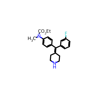 CCOC(=O)N(C)c1ccc(C(=C2CCNCC2)c2cccc(F)c2)cc1